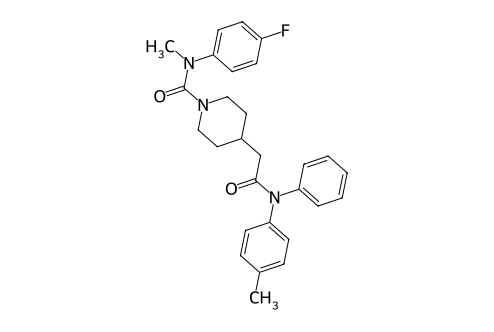 Cc1ccc(N(C(=O)CC2CCN(C(=O)N(C)c3ccc(F)cc3)CC2)c2ccccc2)cc1